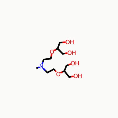 CN(CCOC(CO)CO)CCOC(CO)CO